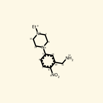 CCN1CCN(c2ccc([N+](=O)[O-])c(CN)c2)CC1